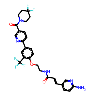 Nc1ccc(C=CC(=O)NCCOc2ccc(-c3ccc(C(=O)N4CCC(F)(F)CC4)cn3)cc2C(F)(F)F)cn1